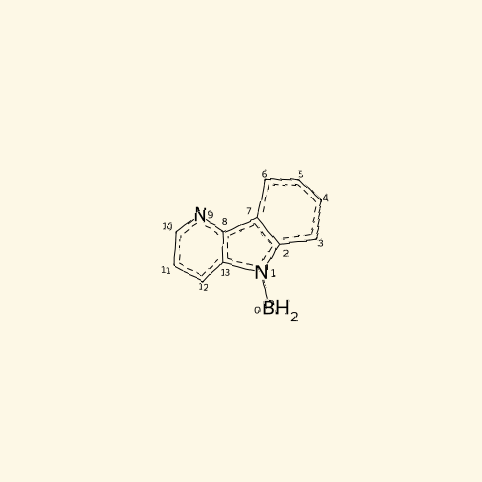 Bn1c2ccccc2c2ncccc21